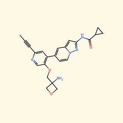 CC#Cc1cc(-c2ccn3nc(NC(=O)C4CC4)cc3c2)c(OCC2(N)COC2)cn1